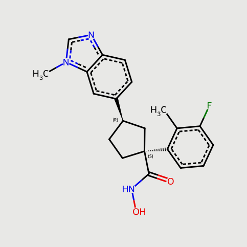 Cc1c(F)cccc1[C@]1(C(=O)NO)CC[C@@H](c2ccc3ncn(C)c3c2)C1